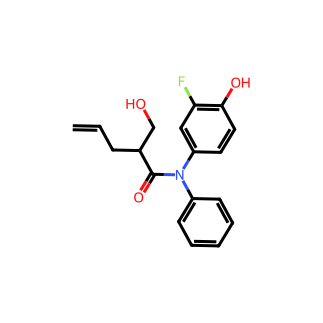 C=CCC(CO)C(=O)N(c1ccccc1)c1ccc(O)c(F)c1